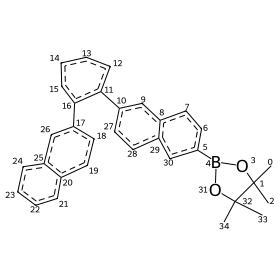 CC1(C)OB(c2ccc3cc(-c4ccccc4-c4ccc5ccccc5c4)ccc3c2)OC1(C)C